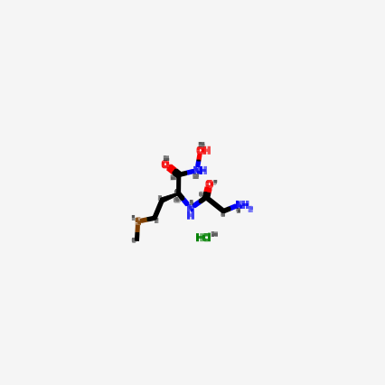 CSCC[C@H](NC(=O)CN)C(=O)NO.Cl